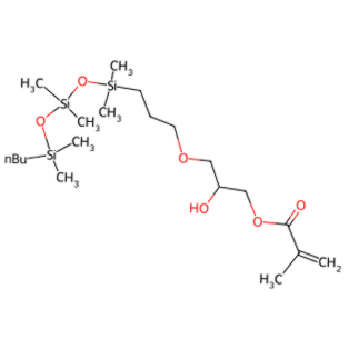 C=C(C)C(=O)OCC(O)COCCC[Si](C)(C)O[Si](C)(C)O[Si](C)(C)CCCC